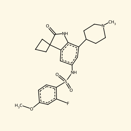 COc1ccc(S(=O)(=O)Nc2cc(C3CCN(C)CC3)c3c(c2)C2(CCC2)C(=O)N3)c(F)c1